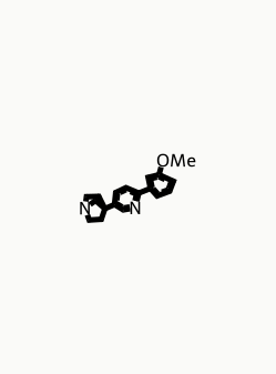 COc1cccc(-c2ccc(C34CCN(CC3)C4)cn2)c1